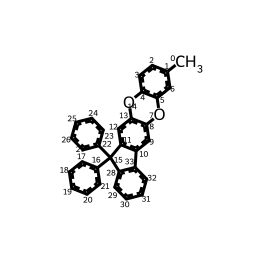 Cc1ccc2c(c1)Oc1cc3c(cc1O2)C(c1ccccc1)(c1ccccc1)c1ccccc1-3